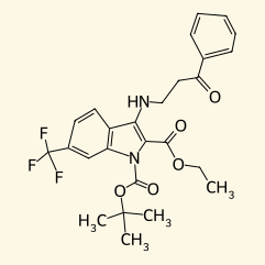 CCOC(=O)c1c(NCCC(=O)c2ccccc2)c2ccc(C(F)(F)F)cc2n1C(=O)OC(C)(C)C